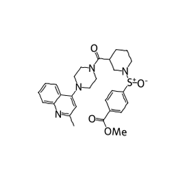 COC(=O)c1ccc([S+]([O-])N2CCCC(C(=O)N3CCN(c4cc(C)nc5ccccc45)CC3)C2)cc1